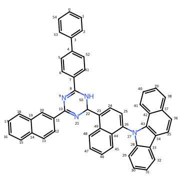 c1ccc(-c2ccc(C3=NC(c4ccc5ccccc5c4)=NC(c4ccc(-n5c6ccccc6c6ccc7ccccc7c65)c5ccccc45)N3)cc2)cc1